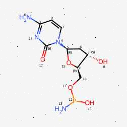 Nc1ccn([C@H]2C[C@H](O)[C@@H](COP(N)O)O2)c(=O)n1